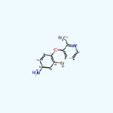 Cc1ncccc1Oc1ccc(N)cc1Br